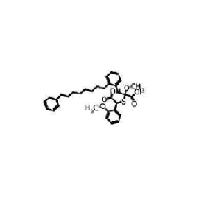 COc1ccccc1C(SC(Cc1ccccc1CCCCCCCCc1ccccc1)(OC)C(=O)O)C(=O)O